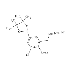 COc1c(Cl)cc(B2OC(C)(C)C(C)(C)O2)cc1CN=[N+]=[N-]